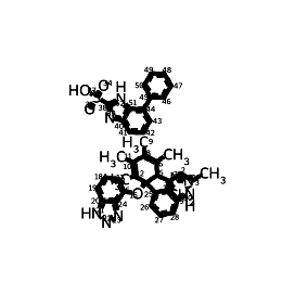 C=C(CCC)C1C(C)=C(C)C(C)=C(C)C1(Oc1cccc2[nH]nnc12)c1cccc2[nH]nnc12.O=S(=O)(O)c1nc2cccc(-c3ccccc3)c2[nH]1